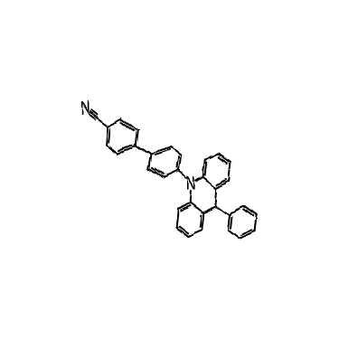 N#Cc1ccc(-c2ccc(N3c4ccccc4C(c4ccccc4)c4ccccc43)cc2)cc1